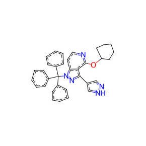 c1ccc(C(c2ccccc2)(c2ccccc2)n2nc(-c3cn[nH]c3)c3c(OC4CCCCC4)nccc32)cc1